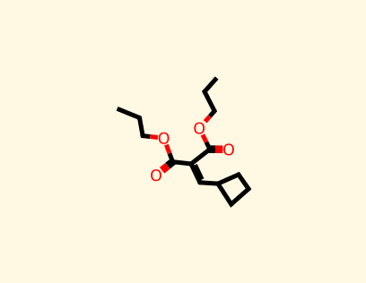 CCCOC(=O)C(=CC1CCC1)C(=O)OCCC